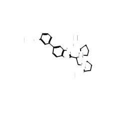 Cc1cccc(-c2ccc3sc(C(CN4CCC[C@H]4C)N4CCC[C@H]4C)nc3c2)c1